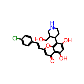 O=c1cc(C=Cc2ccc(Cl)cc2)oc2c(C3CCNCC3CO)c(O)cc(O)c12